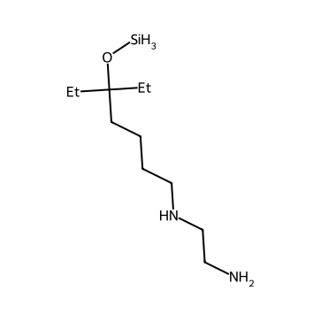 CCC(CC)(CCCCNCCN)O[SiH3]